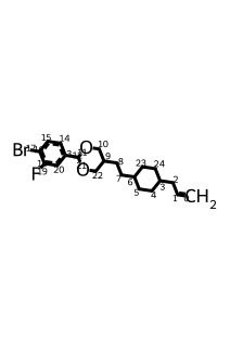 C=CCC1CCC(CCC2COC(c3ccc(Br)c(F)c3)OC2)CC1